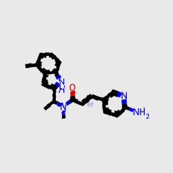 Cc1cccc2[nH]c(C(C)N(C)C(=O)/C=C/c3ccc(N)nc3)cc12